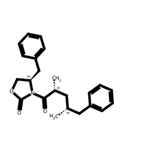 C[C@@H](Cc1ccccc1)C[C@@H](C)C(=O)N1C(=O)OC[C@H]1Cc1ccccc1